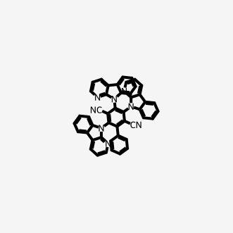 N#Cc1c(-c2ccccc2)c(-n2c3ccccc3c3cccnc32)c(C#N)c(-n2c3ccccc3c3cccnc32)c1-n1c2ccccc2c2cccnc21